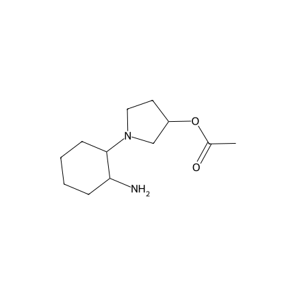 CC(=O)OC1CCN(C2CCCCC2N)C1